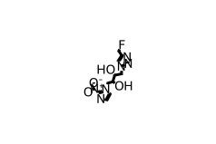 O=[N+]([O-])c1nccn1CC(O)C(O)Cn1cc(CF)nn1